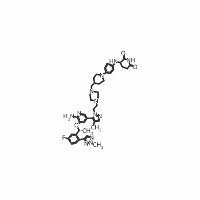 Cc1cnn(CCN2CCN(CC3CCN(c4ccc(NC5CCC(=O)NC5=O)cc4)CC3)CC2)c1-c1cnc(N)c(O[C@H](C)c2cc(F)ccc2-c2cnn(C)n2)c1